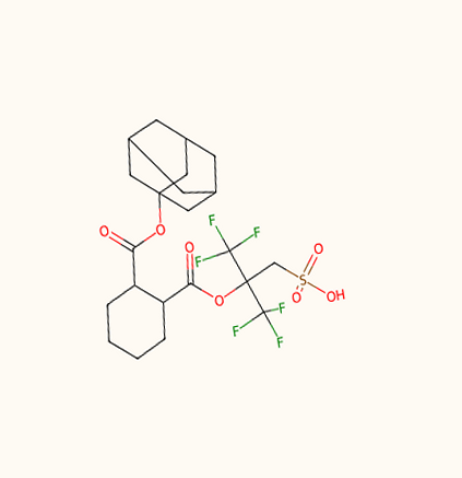 O=C(OC12CC3CC(CC(C3)C1)C2)C1CCCCC1C(=O)OC(CS(=O)(=O)O)(C(F)(F)F)C(F)(F)F